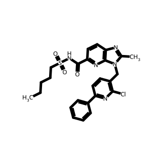 CCCCCS(=O)(=O)NC(=O)c1ccc2nc(C)n(Cc3ccc(-c4ccccc4)nc3Cl)c2n1